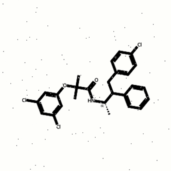 C[C@H](NC(=O)C(C)(C)Oc1cc(Cl)cc(Cl)c1)C(Cc1ccc(Cl)cc1)c1ccccc1